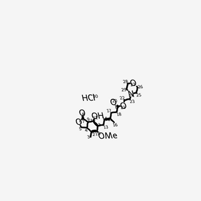 COC1=C(C)C2COC(=O)C2C(O)=C1C/C=C(\C)CCC(=O)OCCN1CCOCC1.Cl